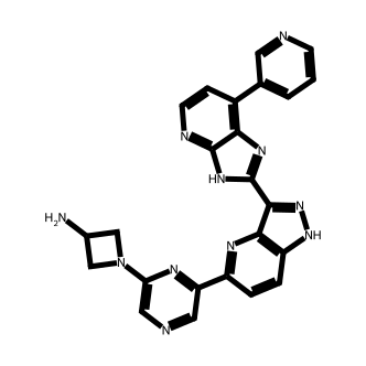 NC1CN(c2cncc(-c3ccc4[nH]nc(-c5nc6c(-c7cccnc7)ccnc6[nH]5)c4n3)n2)C1